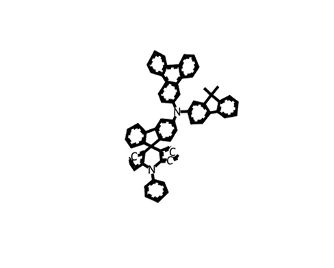 CC1(C)c2ccccc2-c2ccc(N(c3ccc4c(c3)-c3ccccc3C43c4ccccc4N(c4ccccc4)c4ccccc43)c3ccc4c5ccccc5c5ccccc5c4c3)cc21